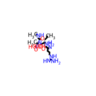 CCC[C@H](NC(=O)[C@@H](N)CCCNC(=N)N)C(=O)N(C(=O)CNC)[C@@H](C)P(=O)(O)O